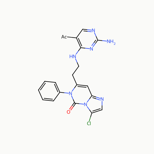 CC(=O)c1cnc(N)nc1NCCc1cc2ncc(Cl)n2c(=O)n1-c1ccccc1